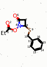 CCC(=O)ON1C(=O)CC1SCc1ccccc1